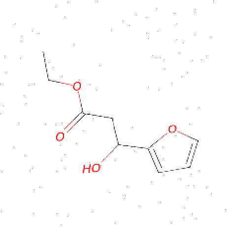 CCOC(=O)CC(O)c1ccco1